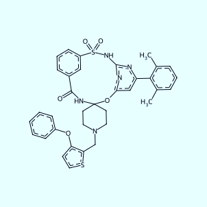 Cc1cccc(C)c1-c1cc2nc(n1)NS(=O)(=O)c1cccc(c1)C(=O)NC1(CCN(Cc3sccc3Oc3ccccc3)CC1)O2